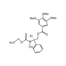 CC[C@](COC(=O)c1cc(OC)c(OC)c(OC)c1)(c1ccccc1)N(C)C(=O)OCOC(C)=O